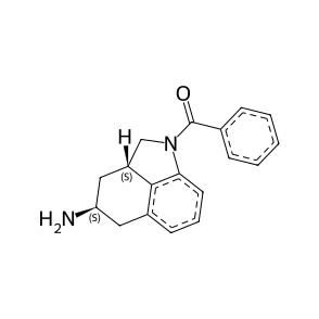 N[C@@H]1Cc2cccc3c2[C@H](C1)CN3C(=O)c1ccccc1